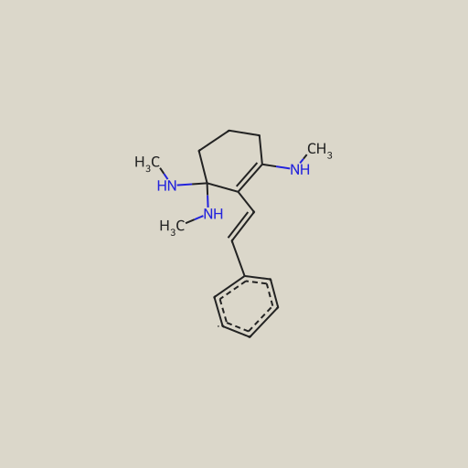 CNC1=C(C=Cc2c[c]ccc2)C(NC)(NC)CCC1